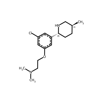 C[C@H]1CC[C@H](c2cc(Cl)cc(OCCN(C)C)c2)NC1